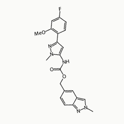 COc1cc(F)ccc1-c1cc(NC(=O)OCc2ccc3nn(C)cc3c2)n(C)n1